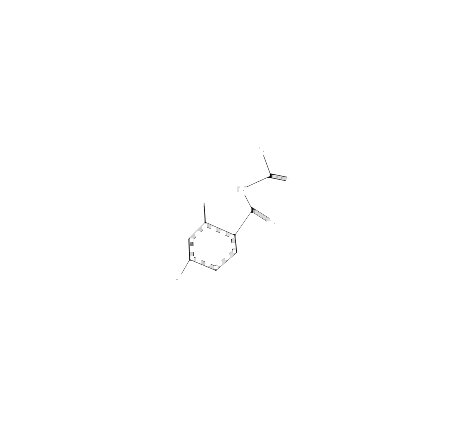 N=C(NC(N)=S)c1ccc(Br)cc1Cl